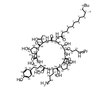 CC[C@H](C)C[C@H](C)CCCCCCCCC(=O)N[C@H]1C[C@@H](O)[C@@H](OCCNC(C)C)NC(=O)[C@@H]2[C@@H](O)CCN2C(=O)[C@H]([C@H](O)CCN)NC(=O)[C@H]([C@H](O)[C@@H](O)c2ccc(O)cc2)NC(=O)[C@@H]2C[C@@H](O)CN2C(=O)C(C(C)O)NC1=O